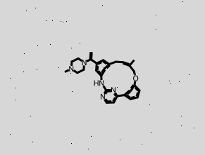 C=C(c1cc2cc(c1)Nc1nccc(n1)-c1cccc(c1)OC/C(C)=C\C2)N1CCN(C)CC1